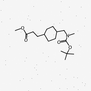 COC(=O)CCC1CCC(CN(C)C(=O)OC(C)(C)C)CC1